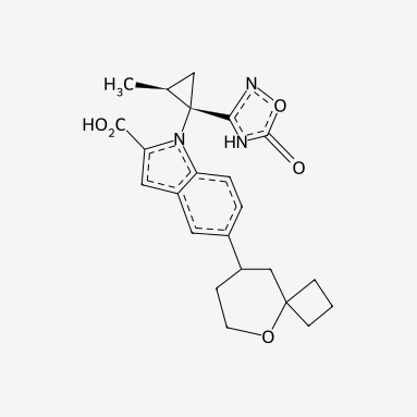 C[C@H]1C[C@]1(c1noc(=O)[nH]1)n1c(C(=O)O)cc2cc(C3CCOC4(CCC4)C3)ccc21